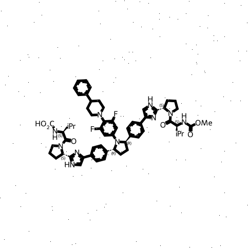 COC(=O)N[C@H](C(=O)N1CCC[C@H]1c1nc(-c2ccc([C@H]3CC[C@H](c4ccc(-c5c[nH]c([C@@H]6CCCN6C(=O)[C@@H](NC(=O)O)C(C)C)n5)cc4)N3c3cc(F)c(N4CCC(c5ccccc5)CC4)c(F)c3)cc2)c[nH]1)C(C)C